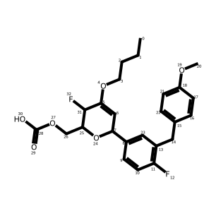 CCCCOC1=CC(c2ccc(F)c(Cc3ccc(OC)cc3)c2)OC(COC(=O)O)C1F